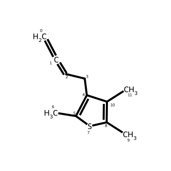 C=C=CCc1c(C)sc(C)c1C